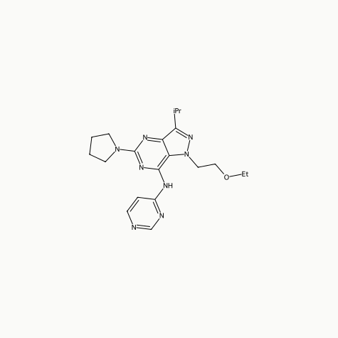 CCOCCn1nc(C(C)C)c2nc(N3CCCC3)nc(Nc3ccncn3)c21